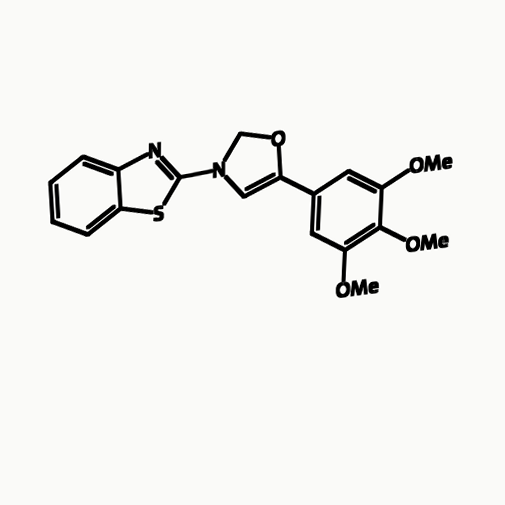 COc1cc(C2=CN(c3nc4ccccc4s3)CO2)cc(OC)c1OC